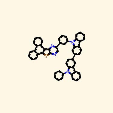 c1ccc(-n2c3ccccc3c3cc(-c4ccc5c6ccccc6n(-c6cccc(-c7cnc8sc9c%10ccccc%10c%10ccccc%10c9c8n7)c6)c5c4)ccc32)cc1